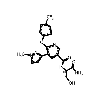 Cn1ccc(-c2cc(C(=O)N[C@H](CO)C(N)=O)cnc2Oc2ccc(C(F)(F)F)cc2)n1